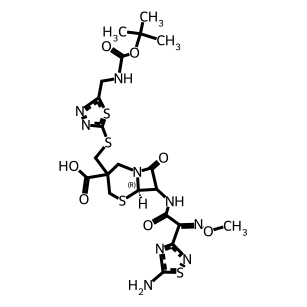 CON=C(C(=O)NC1C(=O)N2CC(CSc3nnc(CNC(=O)OC(C)(C)C)s3)(C(=O)O)CS[C@H]12)c1nsc(N)n1